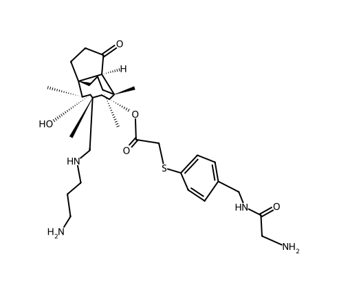 C[C@@H]1CC[C@@]23CCC(=O)[C@H]2[C@]1(C)[C@H](OC(=O)CSc1ccc(CNC(=O)CN)cc1)C[C@](C)(CNCCCN)[C@@H](O)[C@@H]3C